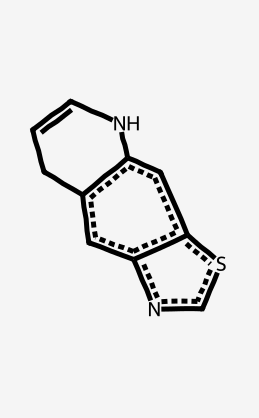 C1=CNc2cc3scnc3cc2C1